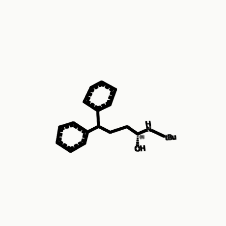 CC(C)(C)N[C@H](O)[CH]CC(c1ccccc1)c1ccccc1